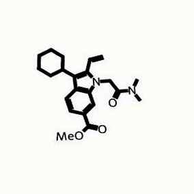 C=Cc1c(C2CCCCC2)c2ccc(C(=O)OC)cc2n1CC(=O)N(C)C